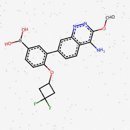 Nc1c(OC=O)nnc2cc(-c3cc(B(O)O)ccc3OC3CC(F)(F)C3)ccc12